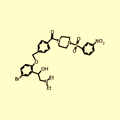 CCN(CC)CC(O)c1cc(Br)ccc1OCc1ccc(C(=O)N2CCN(S(=O)(=O)c3cccc([N+](=O)[O-])c3)CC2)cc1